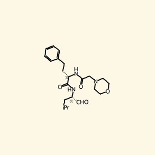 CC(C)C[C@@H](C=O)NC(=O)[C@H](CCc1ccccc1)NC(=O)CN1CCOCC1